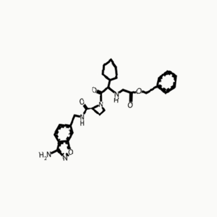 Nc1noc2cc(CNC(=O)[C@@H]3CCN3C(=O)C(NCC(=O)OCc3ccccc3)C3CCCCC3)ccc12